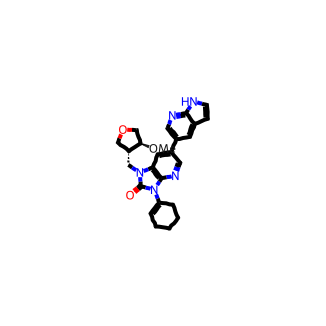 CO[C@@H]1COC[C@H]1Cn1c(=O)n(C2=CCCCC2)c2ncc(-c3cnc4[nH]ccc4c3)cc21